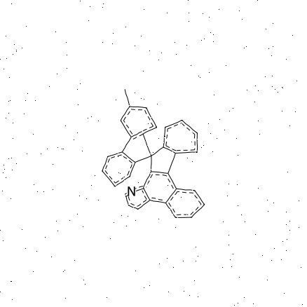 Cc1ccc2c(c1)-c1ccccc1C21c2ccccc2-c2c1c1ncccc1c1ccccc21